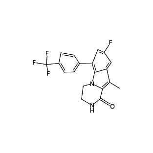 Cc1c2n(c3c(-c4ccc(C(F)(F)F)cc4)cc(F)cc13)CCNC2=O